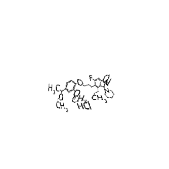 CCCc1c(CCCOc2ccc(C(C)OCC)cc2OC)c(F)cc2onc(N3CCCCC3)c12.Cl